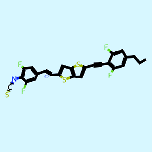 CCCc1cc(F)c(C#Cc2cc3sc(/C=C/c4cc(F)c(N=C=S)c(F)c4)cc3s2)c(F)c1